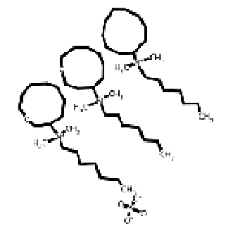 CCCCCCC[N+](C)(C)C1CCCCCCCCC1.CCCCCCC[N+](C)(C)C1CCCCCCCCC1.CCCCCCC[N+](C)(C)C1CCCCCCCCC1.O=P([O-])([O-])[O-]